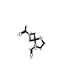 CC(=O)N1CC2(C1)SCCN2C=O